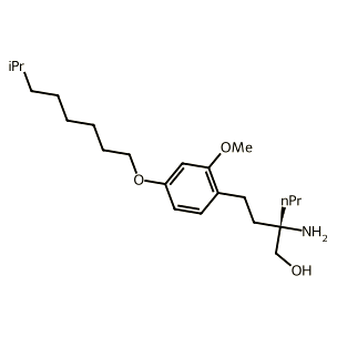 CCC[C@@](N)(CO)CCc1ccc(OCCCCCCC(C)C)cc1OC